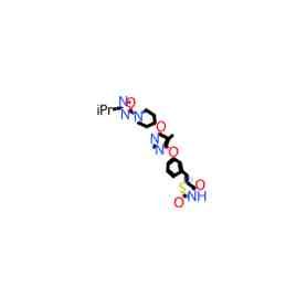 Cc1c(Oc2cccc(/C=C3\SC(=O)NC3=O)c2)ncnc1OC1CCN(c2nc(C(C)C)no2)CC1